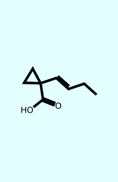 CCC=CC1(C(=O)O)CC1